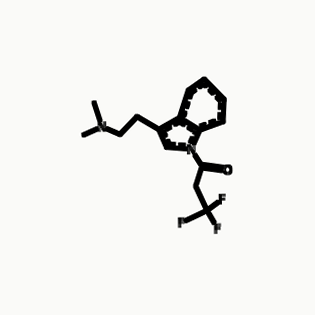 CN(C)CCc1cn(C(=O)CC(F)(F)F)c2ccccc12